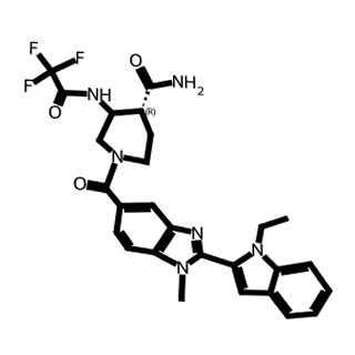 CCn1c(-c2nc3cc(C(=O)N4CC[C@@H](C(N)=O)C(NC(=O)C(F)(F)F)C4)ccc3n2C)cc2ccccc21